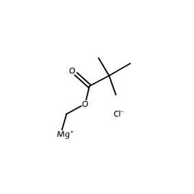 CC(C)(C)C(=O)O[CH2][Mg+].[Cl-]